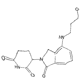 [O]CCCNc1cccc2c1CN(C1CCC(=O)NC1=O)C2=O